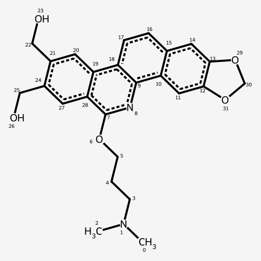 CN(C)CCCOc1nc2c3cc4c(cc3ccc2c2cc(CO)c(CO)cc12)OCO4